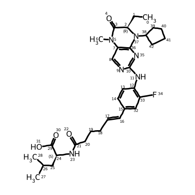 CC[C@@H]1C(=O)N(C)c2cnc(Nc3ccc(C=CCCCC(=O)N[C@@H](CC(C)C)C(=O)O)cc3F)nc2N1C1CCCC1